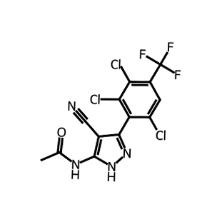 CC(=O)Nc1[nH]nc(-c2c(Cl)cc(C(F)(F)F)c(Cl)c2Cl)c1C#N